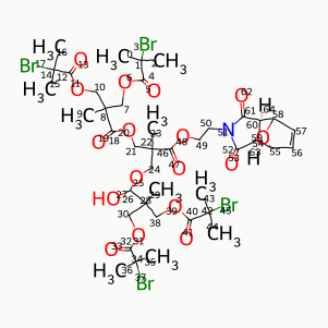 CC(C)(Br)C(=O)OCC(C)(COC(=O)C(C)(C)Br)C(=O)OCC(C)(COC(O)C(C)(COC(=O)C(C)(C)Br)COC(=O)C(C)(C)Br)C(=O)OCCN1C(=O)[C@@H]2C3C=CC(O3)[C@@H]2C1=O